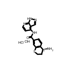 Cl.Cl.N[C@H]1CCSc2cc(C(=O)Nc3ccnc4[nH]ncc34)ccc21